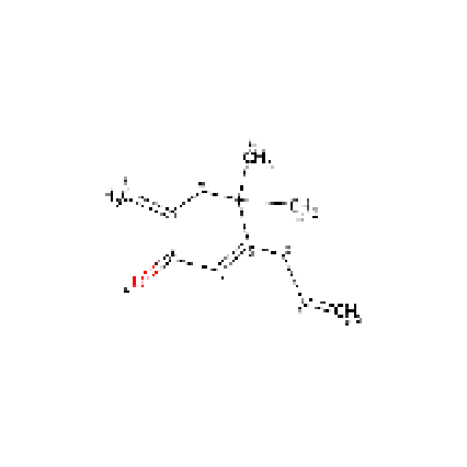 C=CCC1=CC(=O)C(=C)CC1(C)C